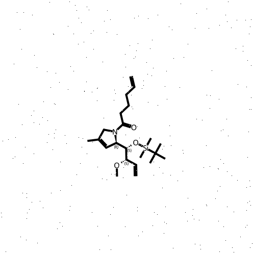 C=CCCCC(=O)N1CC(C)=C[C@@H]1[C@H](O[Si](C)(C)C(C)(C)C)[C@H](C=C)OC